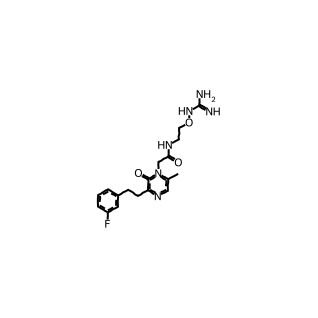 Cc1cnc(CCc2cccc(F)c2)c(=O)n1CC(=O)NCCONC(=N)N